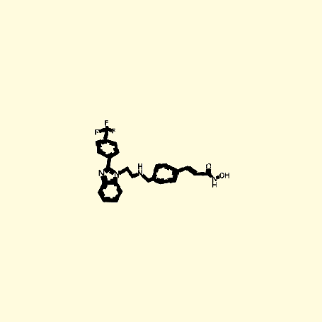 O=C(/C=C/c1ccc(CNCCn2c(-c3ccc(C(F)(F)F)cc3)nc3ccccc32)cc1)NO